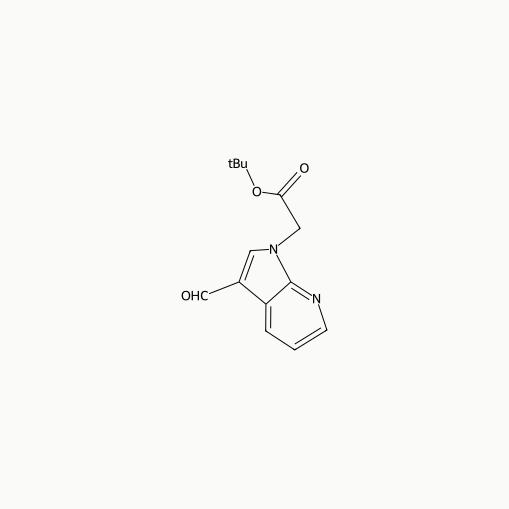 CC(C)(C)OC(=O)Cn1cc(C=O)c2cccnc21